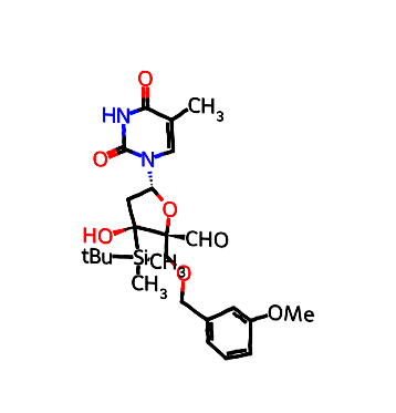 COc1cccc(COC[C@@]2(C=O)O[C@@H](n3cc(C)c(=O)[nH]c3=O)C[C@@]2(O)[Si](C)(C)C(C)(C)C)c1